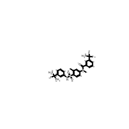 Cc1cc(N(C)C(=O)c2cccc(C(F)(F)P)c2)ccc1S(=O)(=O)Nc1cccc(C(F)(P)P)c1